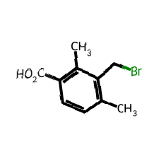 Cc1ccc(C(=O)O)c(C)c1CBr